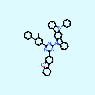 Cc1cc(-c2nc(-c3ccc4c5c(oc4c3)C=CCC5)nc(-n3c4ccccc4c4cc5c(cc43)c3ccccc3n5-c3ccccc3)n2)ccc1-c1ccccc1